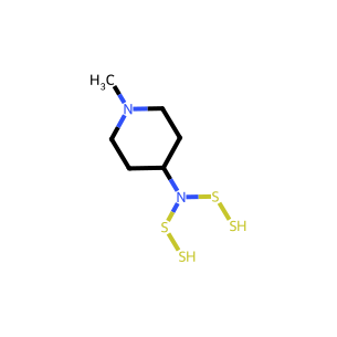 CN1CCC(N(SS)SS)CC1